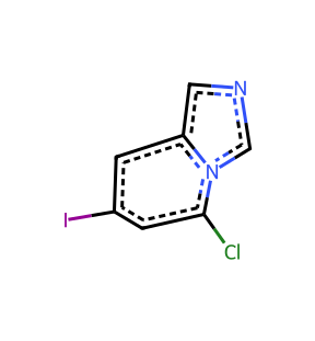 Clc1cc(I)cc2cncn12